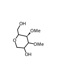 COC1C(O)COC(CO)[C@H]1OC